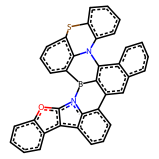 c1ccc2c(c1)Sc1cccc3c1N2c1c2c(cc4ccccc14)-c1cccc4c5c6ccccc6oc5n(c14)B32